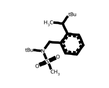 CC(c1ccccc1CN(C(C)(C)C)S(C)(=O)=O)C(C)(C)C